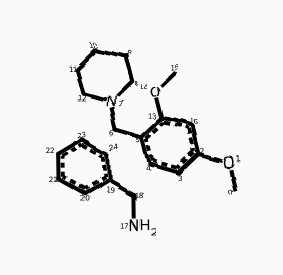 COc1ccc(CN2CCCCC2)c(OC)c1.NCc1ccccc1